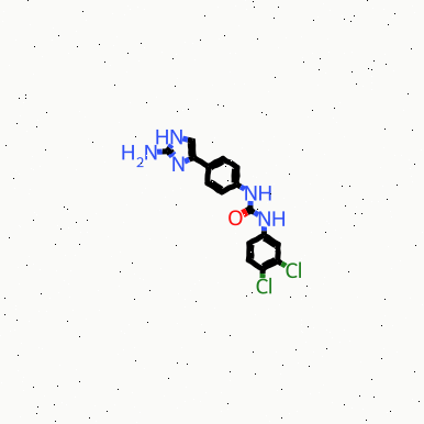 Nc1nc(-c2ccc(NC(=O)Nc3ccc(Cl)c(Cl)c3)cc2)c[nH]1